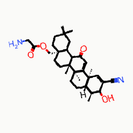 C[C@@H]1C(O)C(C#N)=C[C@]2(C)C3=CC(=O)C4C5CC(C)(C)CC[C@]5(COC(=O)CN)CC[C@@]4(C)[C@]3(C)CC[C@@H]12